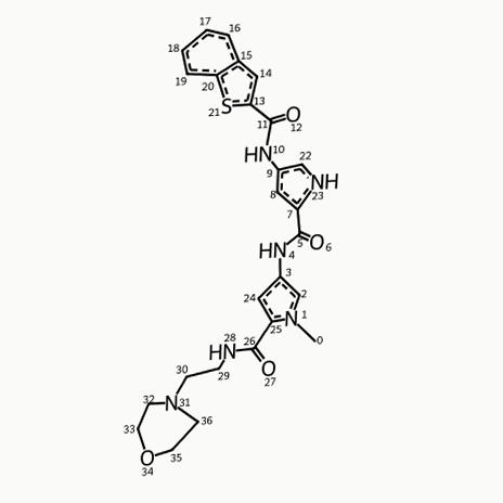 Cn1cc(NC(=O)c2cc(NC(=O)c3cc4ccccc4s3)c[nH]2)cc1C(=O)NCCN1CCOCC1